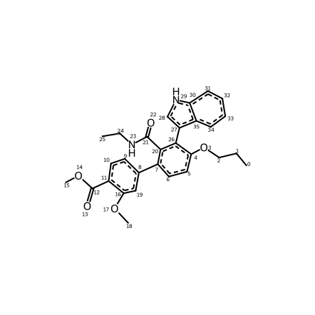 CCCOc1ccc(-c2ccc(C(=O)OC)c(OC)c2)c(C(=O)NCC)c1-c1c[nH]c2ccccc12